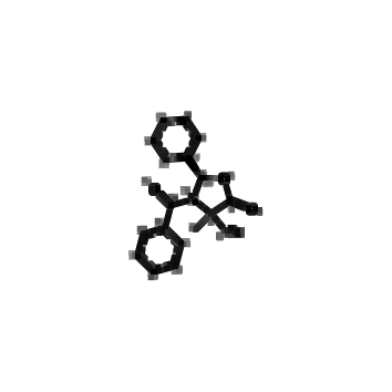 CCCCC1(C)C(=O)O[C@H](c2ccccc2)N1C(=O)c1ccccc1